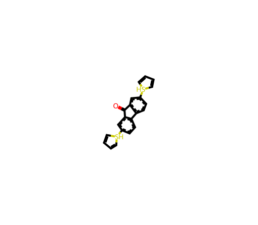 O=C1c2cc([SH]3C=CC=C3)ccc2-c2ccc([SH]3C=CC=C3)cc21